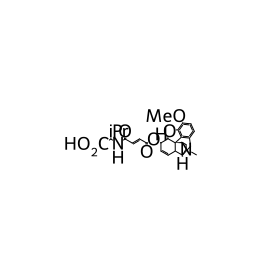 COc1ccc2c3c1O[C@H]1[C@@H](OC(=O)/C=C/C(=O)NC(C(=O)O)C(C)C)C=CC4[C@@H](C2)N(C)CC[C@@]341